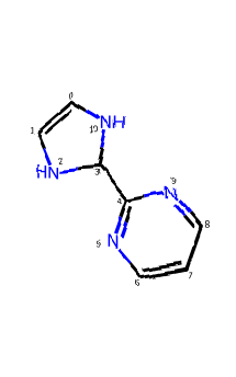 C1=CNC(c2ncccn2)N1